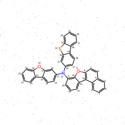 c1ccc2c(c1)ccc1oc3c(N(c4ccc5c(c4)oc4ccccc45)c4ccc5c(c4)sc4ccccc45)cccc3c12